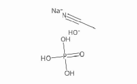 CC#N.O=P(O)(O)O.[Na+].[OH-]